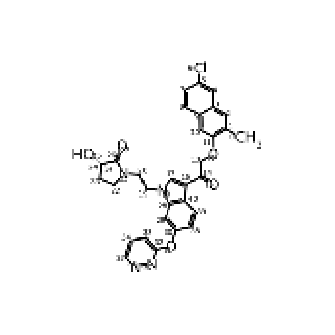 Cc1cc2cc(Cl)ccc2cc1OCC(=O)c1cn(CCN2CC[C@H](O)C2=O)c2cc(Oc3cccnn3)ccc12